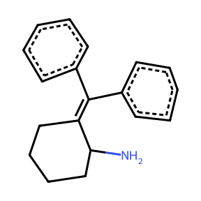 NC1CCCCC1=C(c1ccccc1)c1ccccc1